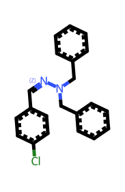 Clc1ccc(/C=N\N(Cc2ccccc2)Cc2ccccc2)cc1